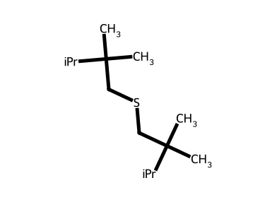 CC(C)C(C)(C)CSCC(C)(C)C(C)C